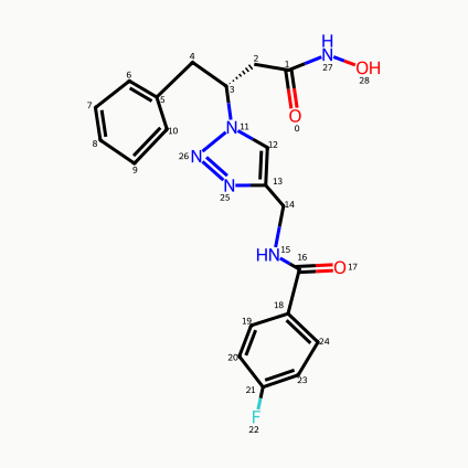 O=C(C[C@@H](Cc1ccccc1)n1cc(CNC(=O)c2ccc(F)cc2)nn1)NO